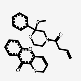 C=CCC(=O)N1CCOC(SC)(c2ccccc2)C1.O=c1c2c(oc3ccccc13)C=CCS2